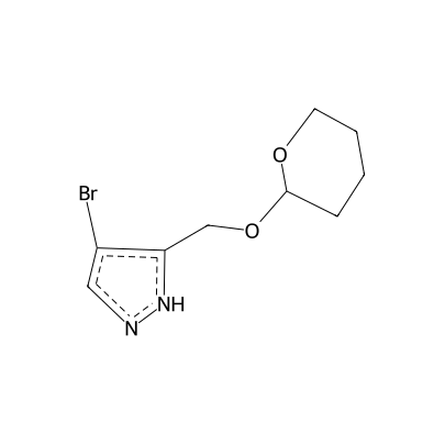 Brc1cn[nH]c1COC1CCCCO1